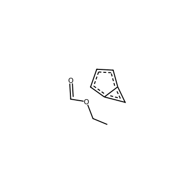 CCOC=O.c1cc2cc-2c1